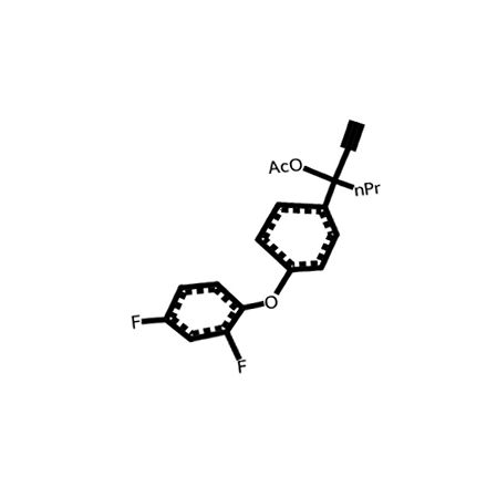 C#CC(CCC)(OC(C)=O)c1ccc(Oc2ccc(F)cc2F)cc1